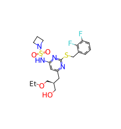 CCOC[C@H](CO)Cc1cc(NS(=O)(=O)N2CCC2)nc(SCc2cccc(F)c2F)n1